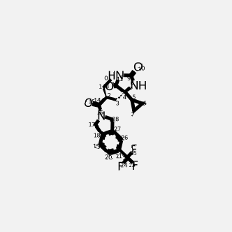 CC[C@@H](C[C@@]1(C2CC2)NC(=O)NC1=O)C(=O)N1Cc2ccc(C(F)(F)F)cc2C1